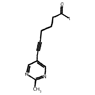 Cc1ncc(C#CCCCC(=O)I)cn1